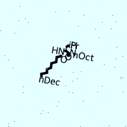 CCCCCCCCCCCCCCCCCC(=O)N[C@@H](CC(C)C)C(=O)NCCCCCCCC